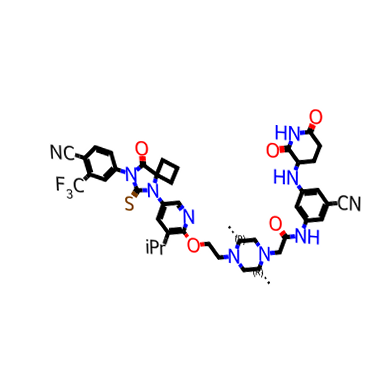 CC(C)c1cc(N2C(=S)N(c3ccc(C#N)c(C(F)(F)F)c3)C(=O)C23CCC3)cnc1OCCN1C[C@@H](C)N(CC(=O)Nc2cc(C#N)cc(NC3CCC(=O)NC3=O)c2)C[C@H]1C